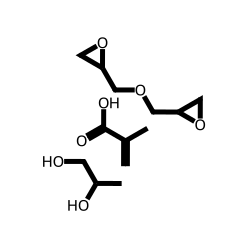 C(OCC1CO1)C1CO1.C=C(C)C(=O)O.CC(O)CO